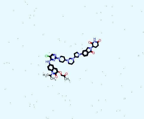 CC(=O)COc1cc2cc(Nc3nc(N4CCC(N5CCCN(C6CCN(c7ccc8c(c7)CN(C7CCC(=O)NC7=O)C8=O)C6)C5)CC4)ncc3Cl)ccc2n(C(C)C)c1=O